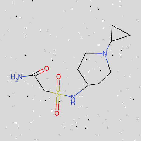 NC(=O)CS(=O)(=O)NC1CCN(C2CC2)CC1